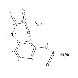 CNC(=O)Oc1cccc(NC(=S)S(C)(=O)=O)c1